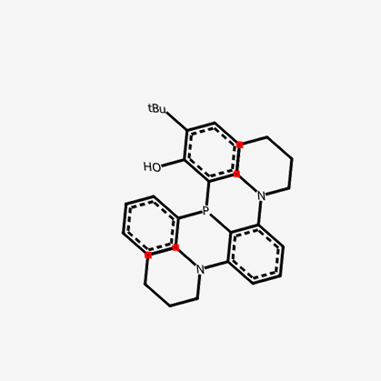 CC(C)(C)c1cccc(P(c2ccccc2)c2c(N3CCCCC3)cccc2N2CCCCC2)c1O